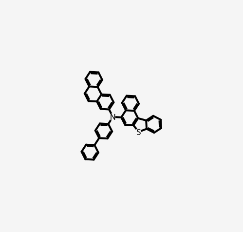 c1ccc(-c2ccc(N(c3ccc4c(ccc5ccccc54)c3)c3cc4sc5ccccc5c4c4ccccc34)cc2)cc1